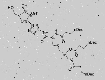 CCCCCCCCCCCCC(=O)N[C@H](CSC[C@@H](COC(=O)CCCCCCCCCCCC)OC(=O)CCCCCCCCCCCC)C(=O)Nc1cn([C@H]2OC(CO)[C@@H](O)[C@H]2O)nn1